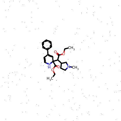 CCOC(=O)C(C1CCN(C)C1)C1(C(=O)OCC)C=C(c2ccccc2)C=CN1